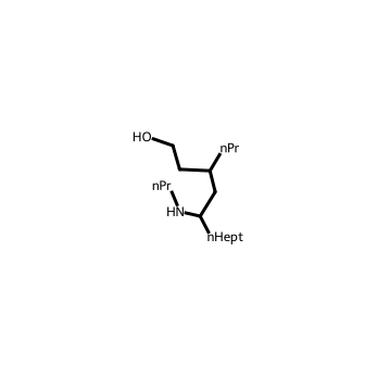 CCCCCCCC(CC(CCC)CCO)NCCC